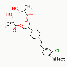 C=C(CO)C(=O)OCC(COC(=O)C(=C)CO)C1CCC(CCc2ccc(CCCCCCC)c(Cl)c2)CC1